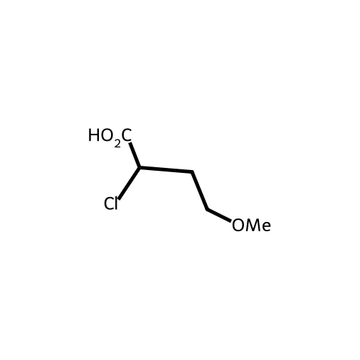 COCCC(Cl)C(=O)O